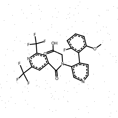 COc1cccc(F)c1-c1ccncc1N(CC(=O)O)C(=O)c1cc(C(F)(F)F)nc(C(F)(F)F)c1